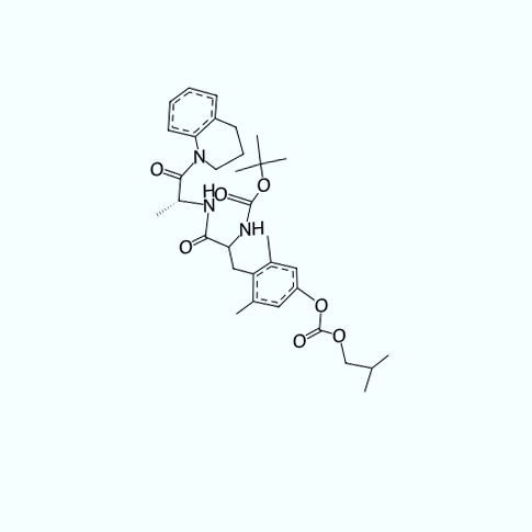 Cc1cc(OC(=O)OCC(C)C)cc(C)c1CC(NC(=O)OC(C)(C)C)C(=O)N[C@H](C)C(=O)N1CCCc2ccccc21